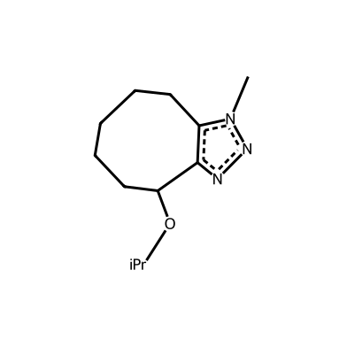 CC(C)OC1CCCCCc2c1nnn2C